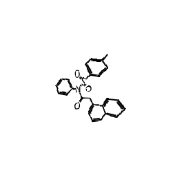 Cc1ccc(S(=O)(=O)N(C(=O)Cc2cccc3ccccc23)c2ccccc2)cc1